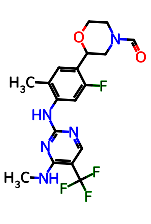 CNc1nc(Nc2cc(F)c(C3CN(C=O)CCO3)cc2C)ncc1C(F)(F)F